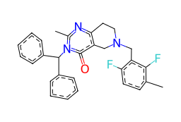 Cc1ccc(F)c(CN2CCc3nc(C)n(C(c4ccccc4)c4ccccc4)c(=O)c3C2)c1F